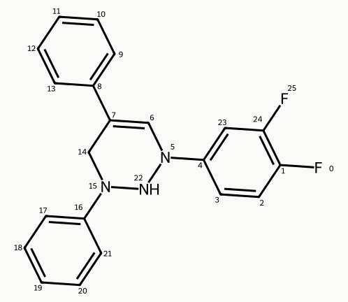 Fc1ccc(N2C=C(c3ccccc3)CN(c3ccccc3)N2)cc1F